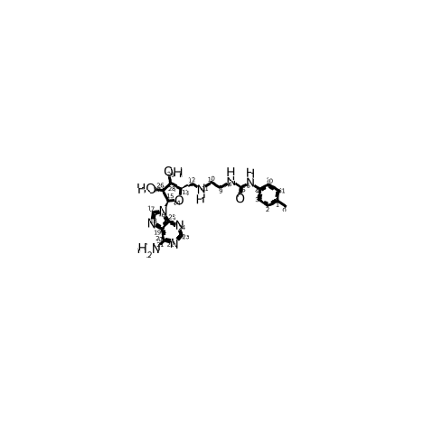 Cc1ccc(NC(=O)NCCNC[C@H]2O[C@@H](n3cnc4c(N)ncnc43)C(O)C2O)cc1